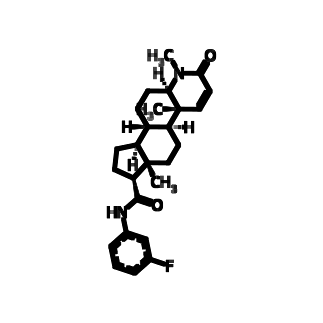 CN1C(=O)C=C[C@]2(C)[C@H]3CC[C@]4(C)[C@@H](C(=O)Nc5cccc(F)c5)CC[C@H]4[C@@H]3CC[C@@H]12